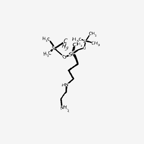 C[Si](C)(C)O[Si](C)(CCCNCCN)O[Si](C)(C)C